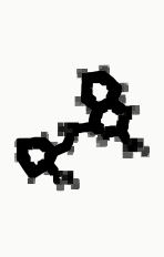 Cc1ccccc1CNc1nc(N)nc2ccccc12